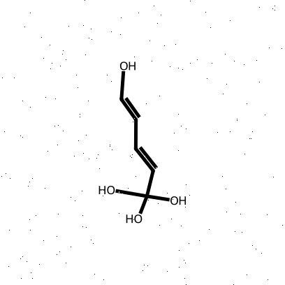 OC=CC=CC(O)(O)O